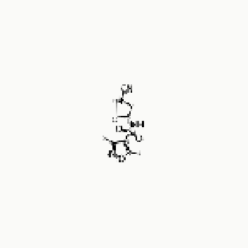 Cc1noc(C)c1S(=O)(=O)N[C@@H]1CCN(C#N)C1